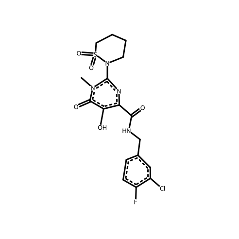 Cn1c(N2CCCCS2(=O)=O)nc(C(=O)NCc2ccc(F)c(Cl)c2)c(O)c1=O